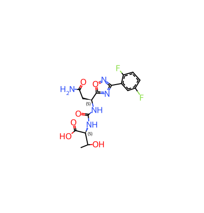 CC(O)[C@H](NC(=O)N[C@@H](CC(N)=O)c1nc(-c2cc(F)ccc2F)no1)C(=O)O